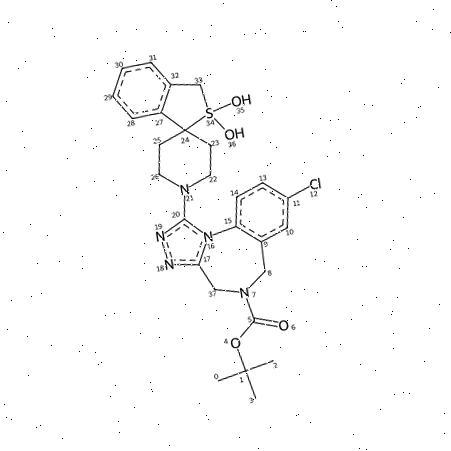 CC(C)(C)OC(=O)N1Cc2cc(Cl)ccc2-n2c(nnc2N2CCC3(CC2)c2ccccc2CS3(O)O)C1